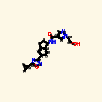 O=C(NC1CCc2cc(-c3noc(C4CC4)n3)ccc21)c1cnn(CCO)c1